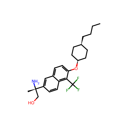 CCCC[C@H]1CC[C@@H](Oc2ccc3cc([C@@](C)(N)CO)ccc3c2C(F)(F)F)CC1